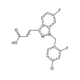 O=C(O)/C=C/c1nn(Cc2ccc(Cl)cc2F)c2cc(F)ccc12